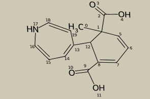 CC1(C(=O)O)C=CC=C(C(=O)O)C1C1=CC=CNC=C1